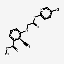 COC(=O)c1cccc(OCC(=O)Nc2ccc(Cl)cn2)c1C#N